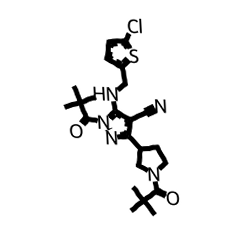 CC(C)(C)C(=O)N1CCC(c2nn(C(=O)C(C)(C)C)c(NCc3ccc(Cl)s3)c2C#N)C1